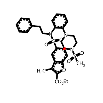 CCOC(=O)c1oc2ccc(S(=O)(=O)N(CCc3ccccc3)c3ccccc3N3CCN(S(C)(=O)=O)CC3)cc2c1C